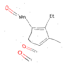 CCC1=[C]([Mn])CC=C1C.[C]=O.[C]=O.[C]=O